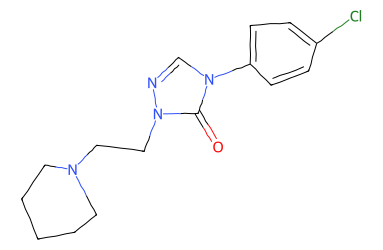 O=c1n(-c2ccc(Cl)cc2)cnn1CCN1CCCCC1